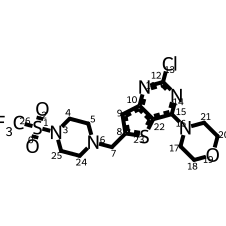 O=S(=O)(N1CCN(Cc2cc3nc(Cl)nc(N4CCOCC4)c3s2)CC1)C(F)(F)F